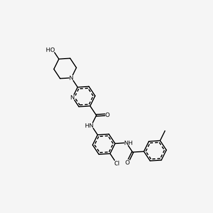 Cc1cccc(C(=O)Nc2cc(NC(=O)c3ccc(N4CCC(O)CC4)nc3)ccc2Cl)c1